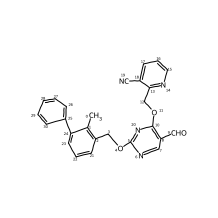 Cc1c(COc2ncc(C=O)c(OCc3ncccc3C#N)n2)cccc1-c1ccccc1